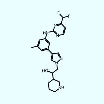 Cc1cc(Nc2nccc(C(F)F)n2)cc(-c2cnn(CC(O)C3CCCNC3)c2)c1